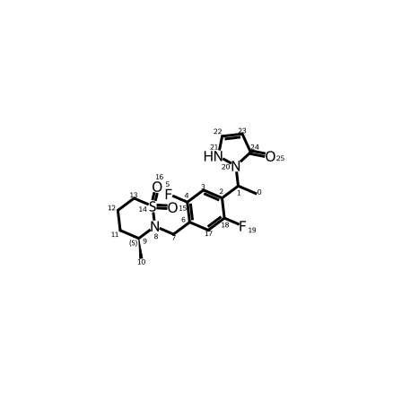 CC(c1cc(F)c(CN2[C@@H](C)CCCS2(=O)=O)cc1F)n1[nH]ccc1=O